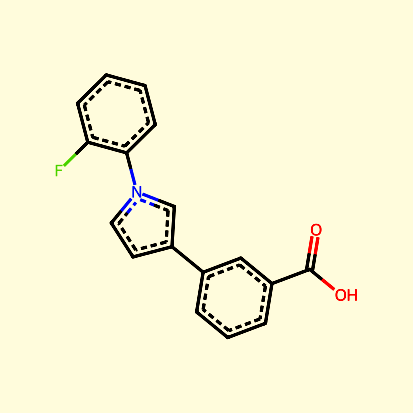 O=C(O)c1cccc(-c2ccn(-c3ccccc3F)c2)c1